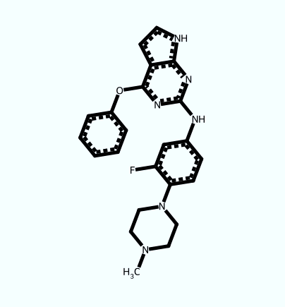 CN1CCN(c2ccc(Nc3nc(Oc4ccccc4)c4cc[nH]c4n3)cc2F)CC1